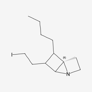 CCCCC1C(CCI)C2N3CC[C@@]123